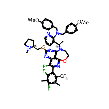 COc1ccc(CN(Cc2ccc(OC)cc2)c2ncccc2[C@@H](C)N2CCOc3nc(-c4c(F)c(C)c(F)c(C)c4C(F)(F)F)c(F)c4nc(SC[C@@H]5CCCN5C)nc2c34)cc1